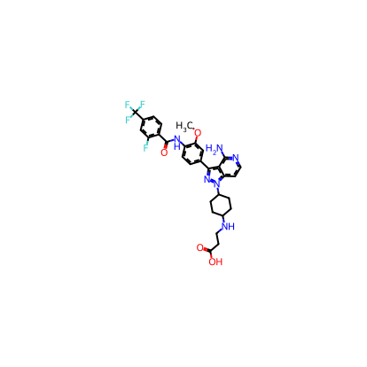 COc1cc(-c2nn(C3CCC(NCCC(=O)O)CC3)c3ccnc(N)c23)ccc1NC(=O)c1ccc(C(F)(F)F)cc1F